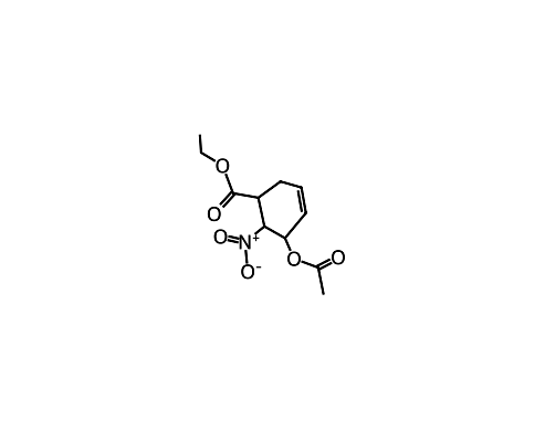 CCOC(=O)C1CC=CC(OC(C)=O)C1[N+](=O)[O-]